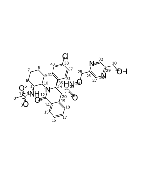 CS(=O)(=O)N[C@H]1CCCCC1N1C(=O)c2ccccc2[C@@H](C(=O)NOCc2cnc(CO)cn2)[C@@H]1c1ccc(Cl)cc1